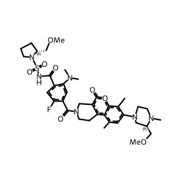 COC[C@H]1CN(c2cc(C)c3c4c(c(=O)oc3c2C)CN(C(=O)c2cc(N(C)C)c(C(=O)NS(=O)(=O)N3CCC[C@@H]3COC)cc2F)CC4)CCN1C